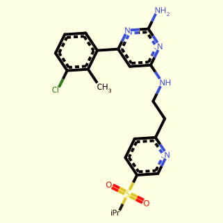 Cc1c(Cl)cccc1-c1cc(NCCc2ccc(S(=O)(=O)C(C)C)cn2)nc(N)n1